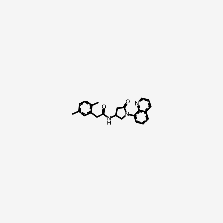 Cc1ccc(C)c(CC(=O)NC2CC(=O)N(c3cccc4cccnc34)C2)c1